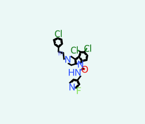 O=C(NCc1ccnc(F)c1)n1c2c(c3c(Cl)c(Cl)ccc31)CN(C/C=C/c1ccc(Cl)cc1)CC2